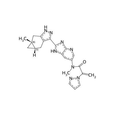 C=C(C(=O)N(C)c1cnc2nc(-c3n[nH]c4c3C[C@@H]3C[C@]3(C)C4)[nH]c2c1)n1cccn1